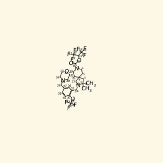 CC1(C)CC2(CCN(C(=O)OC(C(F)(F)F)C(F)(F)F)CC2)CN1Cc1cc(CN2CCOCC2)ccc1OC(F)(F)F